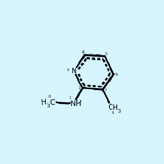 CNc1ncccc1C